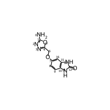 Nc1nnc(COc2ccc3[nH]c(=O)[nH]c3c2)o1